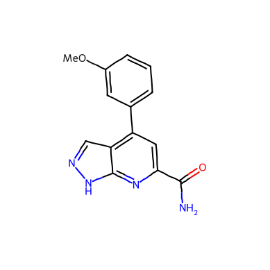 COc1cccc(-c2cc(C(N)=O)nc3[nH]ncc23)c1